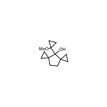 COC1(C2(O)C3(CC3)CCC23CC3)CC1